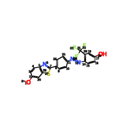 COc1ccc2nc(-c3ccc(N=Nc4ccc(O)cc4C(F)(F)F)cc3)sc2c1